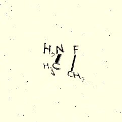 CF.CN